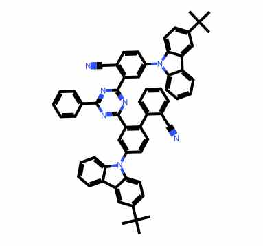 CC(C)(C)c1ccc2c(c1)c1ccccc1n2-c1ccc(C#N)c(-c2nc(-c3ccccc3)nc(-c3cc(-n4c5ccccc5c5cc(C(C)(C)C)ccc54)ccc3-c3ccccc3C#N)n2)c1